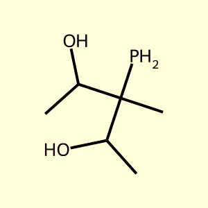 CC(O)C(C)(P)C(C)O